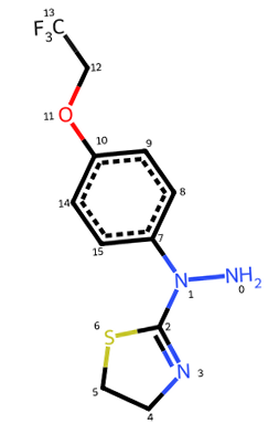 NN(C1=NCCS1)c1ccc(OCC(F)(F)F)cc1